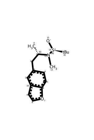 C[C@@H](Cc1ccc2occc2c1)N(C)[S@@+]([O-])C(C)(C)C